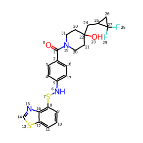 O=C(c1ccc(NSc2cccc3scnc23)cc1)N1CCC(O)(CC2CC2(F)F)CC1